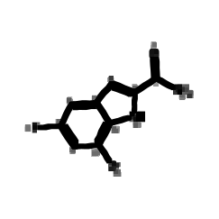 NC(=O)c1cc2cc(F)cc(Br)c2[nH]1